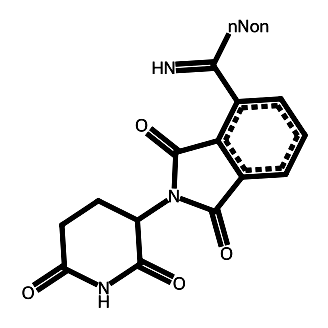 CCCCCCCCCC(=N)c1cccc2c1C(=O)N(C1CCC(=O)NC1=O)C2=O